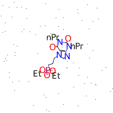 CCCn1c(=O)c2c(ncn2CCCP(=O)(OCC)OCC)n(CCC)c1=O